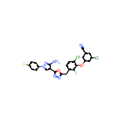 N#Cc1cc(Cl)cc(Oc2c(Cl)ccc(Cc3nnc(-c4cn(-c5ccc(F)cc5)nc4N)o3)c2F)c1